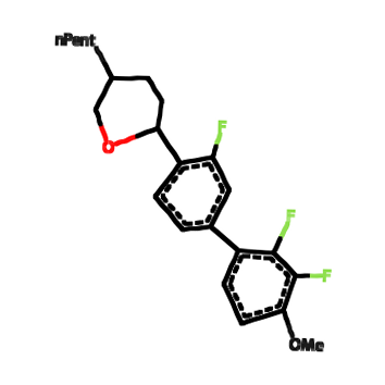 CCCCCC1CCC(c2ccc(-c3ccc(OC)c(F)c3F)cc2F)OC1